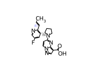 C/C=C/c1ncc(F)cc1[C@@H]1CCCN1c1ccn2ncc(C(=O)O)c2n1